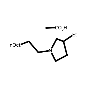 CC(=O)O.CCCCCCCCCCN1CCC(CC)C1